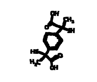 CC(S)(C(=O)O)c1ccc(C(C)(S)C(=O)O)cc1